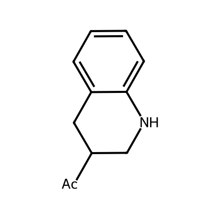 CC(=O)C1CNc2ccccc2C1